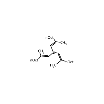 CCCCCCCC/C(C)=C/[Si](/C=C(\C)CCCCCCCC)/C=C(\C)CCCCCCCC